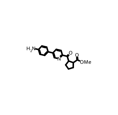 COC(=O)C1CCCC1C(=O)c1ccc(-c2ccc(N)cc2)cn1